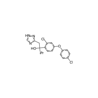 CC(C)C(O)(Cc1nc[nH]n1)c1ccc(Oc2ccc(Cl)cc2)cc1Cl